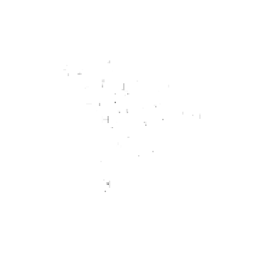 CCCCOC(=O)C(C)(CC(C)(C)C(=O)CCO)CC(C)(CC)C(=O)CCO